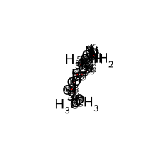 COc1cc2sc3c(c2cc1OC)CN(CCC(=O)OCc1ccc(C#Cc2cccc4cc([C@H](C)NC(=O)c5c(N)nn6cccnc56)n(-c5ccccc5)c(=O)c24)cc1F)C3=O